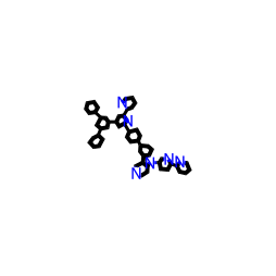 c1ccc(-c2cc(-c3ccccc3)cc(-c3cc(-c4ccc(-c5ccc6c(c5)c5cnccc5n6-c5ccc(-c6ccccn6)nc5)cc4)nc(-c4ccccn4)c3)c2)cc1